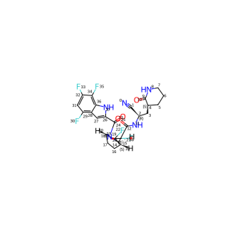 N#C[C@@H](C[C@@H]1CCCNC1=O)NC(=O)[C@H]1[C@@H]2CC[C@@H](CC2(F)F)N1C(=O)c1cc2c(F)cc(F)c(F)c2[nH]1